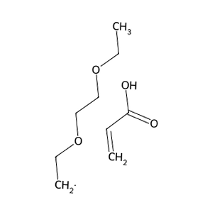 C=CC(=O)O.[CH2]COCCOCC